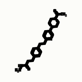 CC(=O)N1CCN(c2ccc(CCc3ccc(CCC(=O)NN)cc3)nc2)CC1